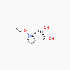 CCOn1ccc2cc(O)c(O)cc21